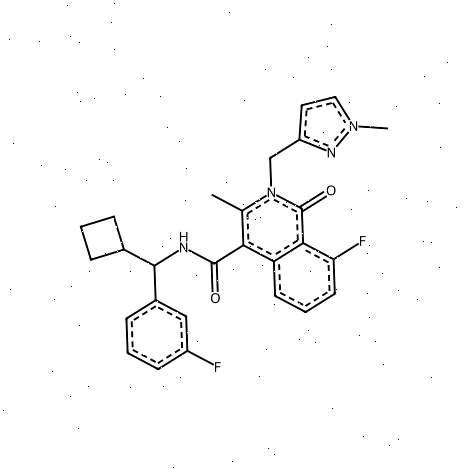 Cc1c(C(=O)NC(c2cccc(F)c2)C2CCC2)c2cccc(F)c2c(=O)n1Cc1ccn(C)n1